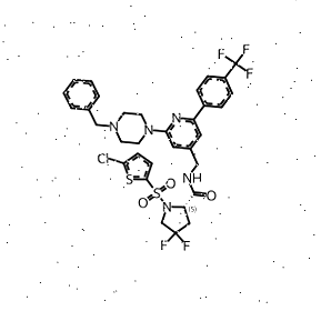 O=C(NCc1cc(-c2ccc(C(F)(F)F)cc2)nc(N2CCN(Cc3ccccc3)CC2)c1)[C@@H]1CC(F)(F)CN1S(=O)(=O)c1ccc(Cl)s1